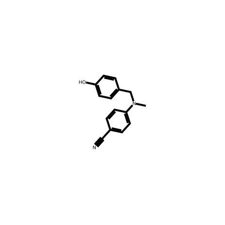 CN(Cc1ccc(O)cc1)c1ccc(C#N)cc1